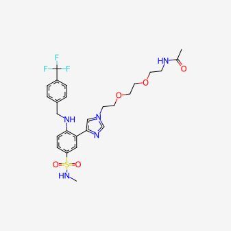 CNS(=O)(=O)c1ccc(NCc2ccc(C(F)(F)F)cc2)c(-c2cn(CCOCCOCCNC(C)=O)cn2)c1